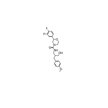 COc1ccc(CC(CO)CNC(=O)N2CCOC(c3ccc(F)c(F)c3)C2)cc1